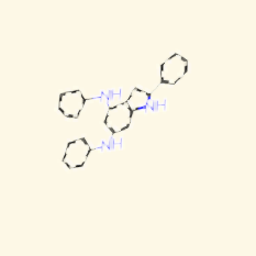 c1ccc(Nc2cc(Nc3ccccc3)c3cc(-c4ccccc4)[nH]c3c2)cc1